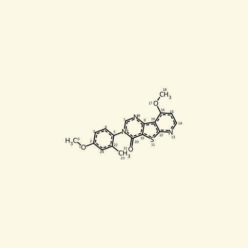 COc1ccc(-n2cnc3c(sc4nccc(OC)c43)c2=O)c(C)c1